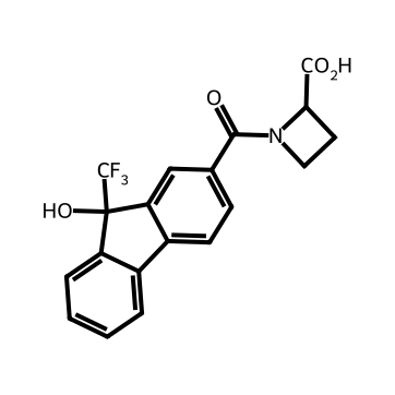 O=C(O)C1CCN1C(=O)c1ccc2c(c1)C(O)(C(F)(F)F)c1ccccc1-2